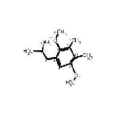 COc1cc(CC(C)N)c(OC)c(C)c1C